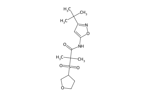 CC(C)(C)c1cc(NC(=O)C(C)(C)S(=O)(=O)C2CCOC2)on1